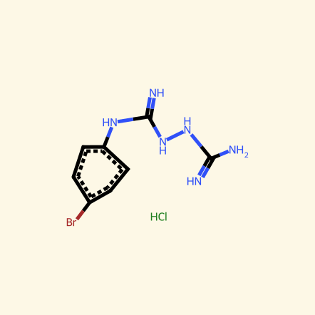 Cl.N=C(N)NNC(=N)Nc1ccc(Br)cc1